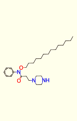 CCCCCCCCCCCCCCON(C(=O)CCN1CCNCC1)c1ccccc1